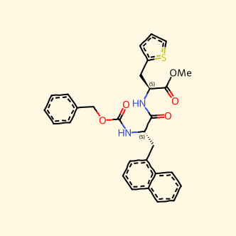 COC(=O)[C@H](Cc1cccs1)NC(=O)[C@H](Cc1cccc2ccccc12)NC(=O)OCc1ccccc1